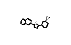 Brc1cccc(-c2ccc(-c3ccc4ccccc4c3)s2)c1